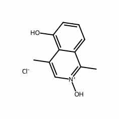 Cc1c[n+](O)c(C)c2cccc(O)c12.[Cl-]